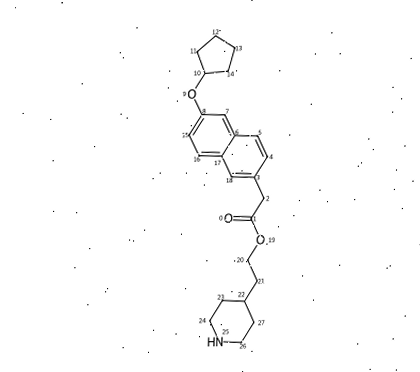 O=C(Cc1ccc2cc(OC3CCCC3)ccc2c1)OCCC1CCNCC1